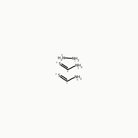 NC=S.NC=S.NN